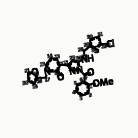 COc1ccccc1C(=O)n1nc(-c2cccn(Cc3ccco3)c2=O)cc1NCc1ccc(Cl)s1